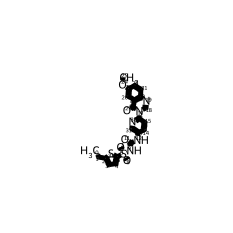 CCc1ccc(S(=O)(=O)NC(=O)Nc2ccc(-n3cnc4ccc(OC)cc4c3=O)nc2)s1